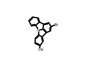 N#Cc1ccc2c(c1)c1cc(Br)cc3c4ccccc4n2c31